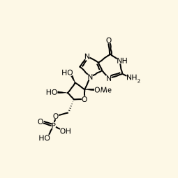 CO[C@@]1(n2cnc3c(=O)[nH]c(N)nc32)O[C@H](COP(=O)(O)O)[C@@H](O)[C@H]1O